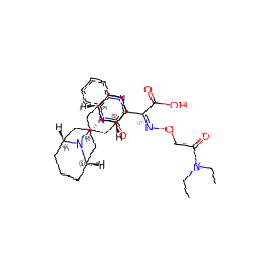 CCN(CC)C(=O)CO/N=C(\C(=O)O)c1nc2ccccc2n([C@H]2C[C@H]3CCC[C@@H](C2)N3C2C[C@H]3CCC[C@@H](C2)C3)c1=O